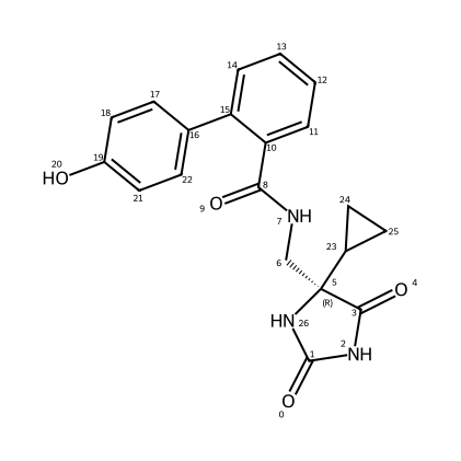 O=C1NC(=O)[C@](CNC(=O)c2ccccc2-c2ccc(O)cc2)(C2CC2)N1